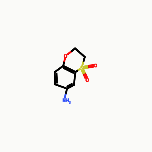 Nc1ccc2c(c1)S(=O)(=O)CCO2